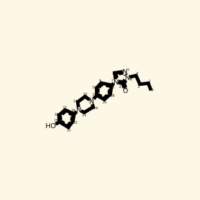 CCCCn1ncn(-c2ccc(N3CCN(c4ccc(O)cc4)CC3)cc2)c1=O